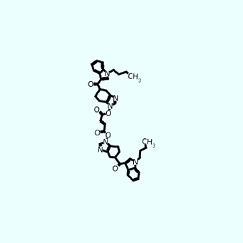 CCCCn1cc(C(=O)C2CCc3c(ncn3OC(=O)/C=C/C(=O)On3cnc4c3CCC(C(=O)c3cn(CCCC)c5ccccc35)C4)C2)c2ccccc21